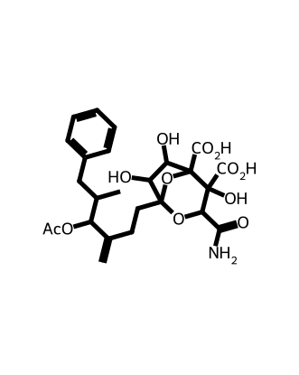 C=C(CCC12OC(C(N)=O)C(O)(C(=O)O)C(C(=O)O)(O1)C(O)C2O)C(OC(C)=O)C(C)Cc1ccccc1